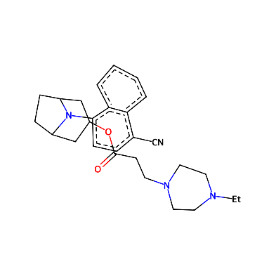 CCN1CCN(CCC(=O)OC2CC3CCC(C2)N3c2ccc(C#N)c3ccccc23)CC1